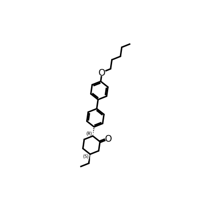 CCCCCOc1ccc(-c2ccc([C@H]3CC[C@H](CC)CC3=O)cc2)cc1